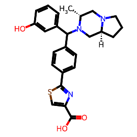 C[C@@H]1CN2CCC[C@H]2CN1C(c1ccc(-c2nc(C(=O)O)cs2)cc1)c1cccc(O)c1